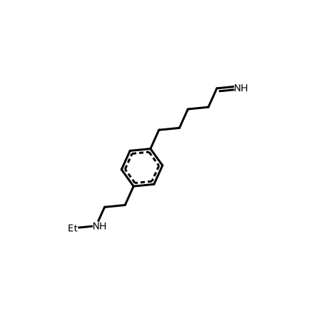 CCNCCc1ccc(CCCCC=N)cc1